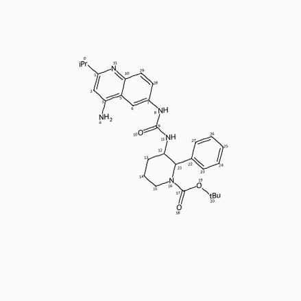 CC(C)c1cc(N)c2cc(NC(=O)NC3CCCN(C(=O)OC(C)(C)C)C3c3ccccc3)ccc2n1